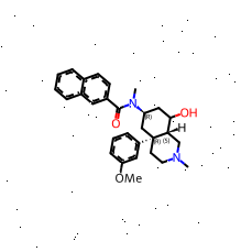 COc1cccc([C@@]23CCN(C)C[C@H]2C(O)C[C@H](N(C)C(=O)c2ccc4ccccc4c2)C3)c1